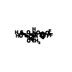 CC(O)CCn1c(=O)c2[nH]c(Oc3cccc(OC(F)(F)F)c3)nc2n(C)c1=O